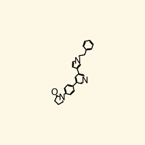 O=C1CCCN1c1ccc(-c2cncc(-c3ccn(CCc4ccccc4)c3)c2)cc1